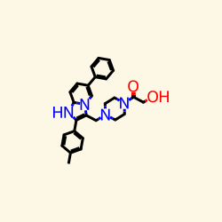 Cc1ccc(C2=C(CN3CCN(C(=O)CO)CC3)N3C=C(c4ccccc4)C=CC3N2)cc1